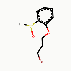 C[S+]([O-])c1ccccc1OCCCBr